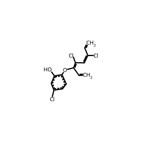 C=C/C(Oc1ccc(Cl)cc1O)=C(Cl)\C=C(\Cl)C=C